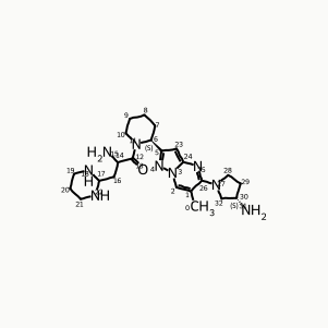 Cc1cn2nc([C@@H]3CCCCN3C(=O)C(N)CC3NCCCN3)cc2nc1N1CC[C@H](N)C1